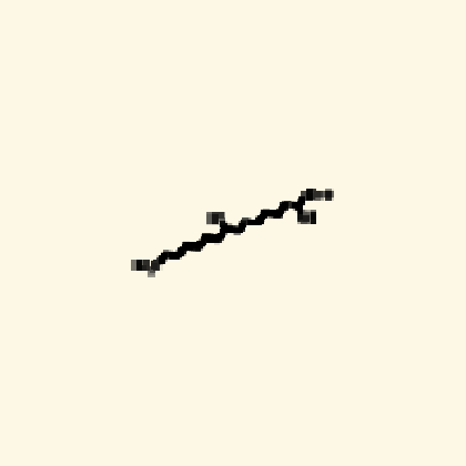 CCCCCC(O)CCCCC/C=C(O)/C=C/C=C/C=C/C(=O)O